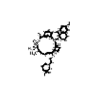 C[C@@H]1[C@@H](C)C/C=C/[C@H](OCCN2CCCC(F)(F)C2)[C@@H]2CC[C@H]2CN2C[C@@]3(CCCc4cc(Cl)ccc43)COc3ccc(cc32)C(=O)NS1(=O)=O